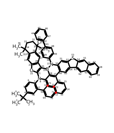 CC(C)(C)c1ccc(N2c3cc4ccccc4c4c3B(c3c2oc2cc5c(cc32)C(C)(C)CCC5(C)C)N(c2ccc(-c3ccccc3)cc2)c2cc3sc5cc6ccccc6cc5c3cc2-4)c(-c2ccccc2)c1